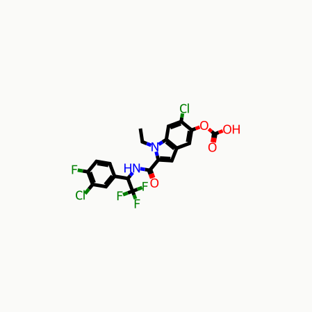 CCn1c(C(=O)NC(c2ccc(F)c(Cl)c2)C(F)(F)F)cc2cc(OC(=O)O)c(Cl)cc21